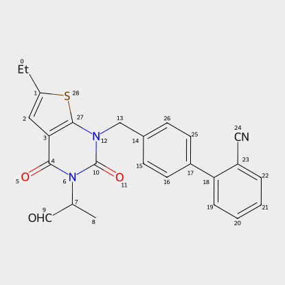 CCc1cc2c(=O)n(C(C)C=O)c(=O)n(Cc3ccc(-c4ccccc4C#N)cc3)c2s1